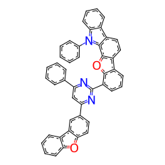 c1ccc(-c2cc(-c3ccc4oc5ccccc5c4c3)nc(-c3cccc4c3oc3c4ccc4c5ccccc5n(-c5ccccc5)c43)n2)cc1